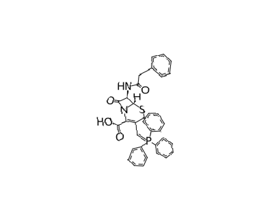 O=C(Cc1ccccc1)N[C@@H]1C(=O)N2C(C(=O)O)=C(C=P(c3ccccc3)(c3ccccc3)c3ccccc3)CS[C@@H]12